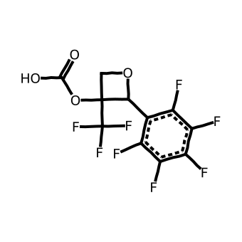 O=C(O)OC1(C(F)(F)F)COC1c1c(F)c(F)c(F)c(F)c1F